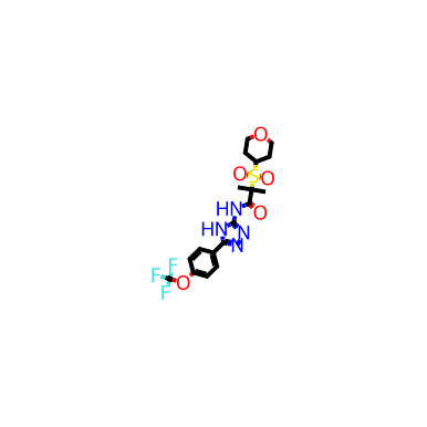 CC(C)(C(=O)Nc1nnc(-c2ccc(OC(F)(F)F)cc2)[nH]1)S(=O)(=O)C1CCOCC1